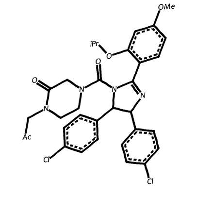 COc1ccc(C2=NC(c3ccc(Cl)cc3)C(c3ccc(Cl)cc3)N2C(=O)N2CCN(CC(C)=O)C(=O)C2)c(OC(C)C)c1